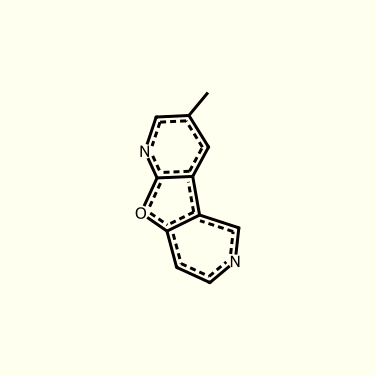 Cc1cnc2oc3ccncc3c2c1